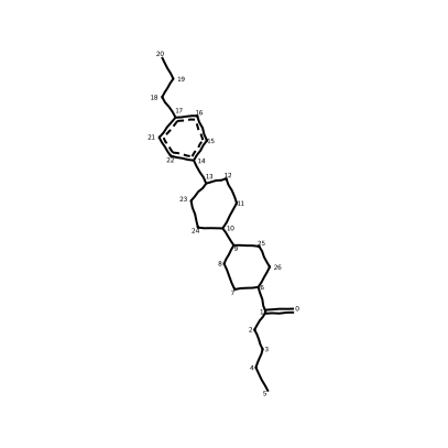 C=C(CCCC)C1CCC(C2CCC(c3ccc(CCC)cc3)CC2)CC1